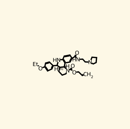 C=CCOC(=O)N1CCC[C@H]2C(c3ccc(OCC)cc3)Nc3ccc(C(=O)NCCN4CCCC4)cc3[C@H]21